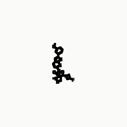 COc1cccc(-c2cn3ccc(NC(=O)c4c(C(=O)N5CC(F)C5)cnn4C)nc3n2)c1